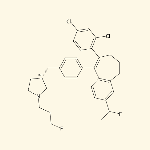 CC(F)c1ccc2c(c1)CCCC(c1ccc(Cl)cc1Cl)=C2c1ccc(C[C@H]2CCN(CCCF)C2)cc1